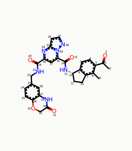 CC(=O)c1ccc2c(c1C)CC[C@@H]2NC(=O)c1cc(C(=O)NCc2ccc3c(c2)NC(=O)CO3)nc2ccnn12